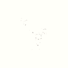 CC(=O)O.O=C(CO)NCCCOc1cccc(CN2CCCCC2)c1